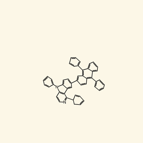 C1=CCC(c2nccc3c2c2cc(-c4ccc5c(-c6ccccc6)c6ccccc6c(-c6ccccc6)c5c4)ccc2n3-c2ccccc2)C=C1